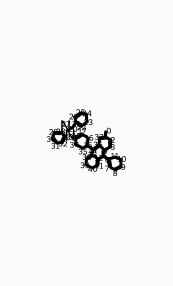 Cc1ccc2c(C3=CC=CCC3)c3c(c(C4CC=C(n5c(C6=CCCC=C6)nc6ccccc65)CC4)c2c1)=CCCC=3